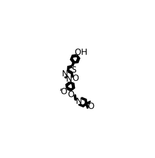 COc1cc(-n2cnc3cc(-c4ccc(O)cc4)sc3c2=O)ccc1OCCN1CCC2(CC1)COC2